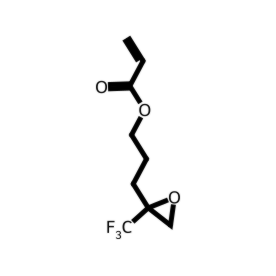 C=CC(=O)OCCCC1(C(F)(F)F)CO1